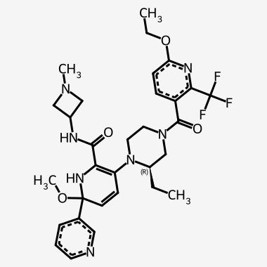 CCOc1ccc(C(=O)N2CCN(C3=C(C(=O)NC4CN(C)C4)NC(OC)(c4cccnc4)C=C3)[C@H](CC)C2)c(C(F)(F)F)n1